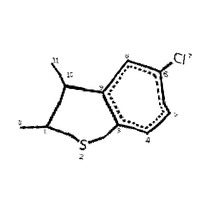 CC1Sc2ccc(Cl)cc2C1C